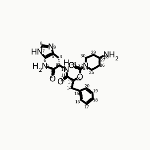 NC(=O)[C@H](Cc1c[nH]cn1)NC(=O)C(Cc1ccccc1)OC(=O)N1CCC(N)CC1